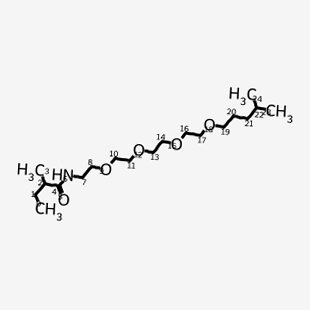 CCC(C)C(=O)NCCOCCOCCOCCOCCCC(C)C